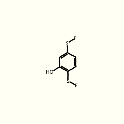 Oc1cc(SF)ccc1SF